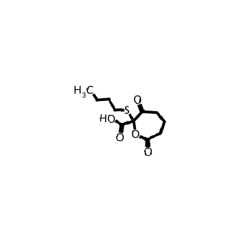 CCCCSC1(C(=O)O)OC(=O)CCCC1=O